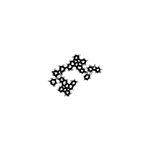 c1ccc(N(c2ccc3cc4c(cc3c2)C2(c3ccccc3-c3ccccc32)c2ccc3cc(-c5ccc6c(c5)oc5c(N(c7ccccc7)c7ccc8cc9c(cc8c7)C7(c8ccccc8-c8ccccc87)c7ccc8ccccc8c7-9)cccc56)ccc3c2-4)c2ccc3sc4ccccc4c3c2)cc1